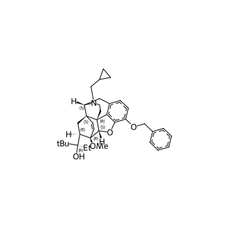 CC[C@@](O)([C@H]1C[C@]23C=C[C@]1(OC)[C@H]1Oc4c(OCc5ccccc5)ccc5c4[C@]12CCN(CC1CC1)[C@H]3C5)C(C)(C)C